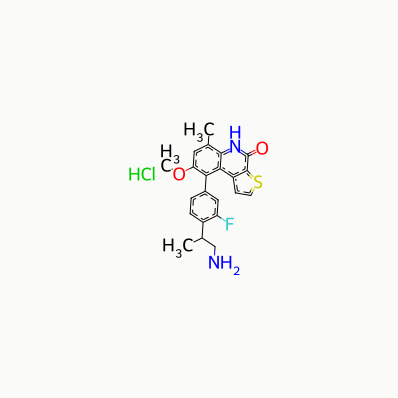 COc1cc(C)c2[nH]c(=O)c3sccc3c2c1-c1ccc(C(C)CN)c(F)c1.Cl